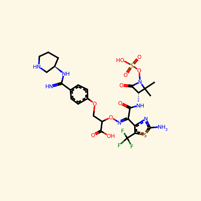 CC1(C)[C@H](NC(=O)/C(=N\OC(COc2ccc(C(=N)N[C@@H]3CCCNC3)cc2)C(=O)O)c2nc(N)sc2C(F)(F)F)C(=O)N1OS(=O)(=O)O